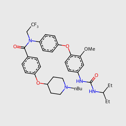 CCCCN1CCC(Oc2ccc(C(=O)N(CC(F)(F)F)c3ccc(Oc4ccc(NC(=O)NC(CC)CC)cc4OC)cc3)cc2)CC1